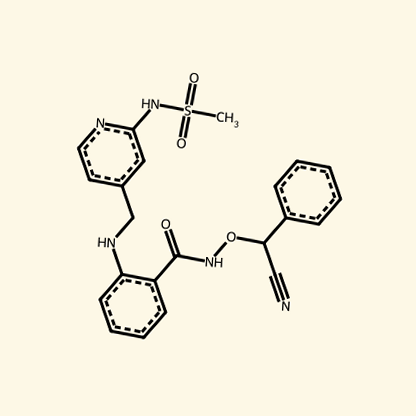 CS(=O)(=O)Nc1cc(CNc2ccccc2C(=O)NOC(C#N)c2ccccc2)ccn1